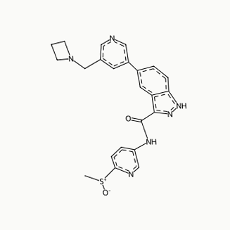 C[S+]([O-])c1ccc(NC(=O)c2n[nH]c3ccc(-c4cncc(CN5CCC5)c4)cc23)cn1